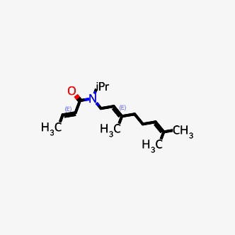 C/C=C/C(=O)N(C/C=C(\C)CCC=C(C)C)C(C)C